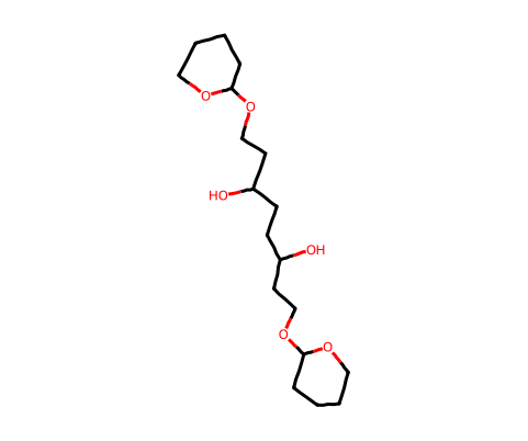 OC(CCOC1CCCCO1)CCC(O)CCOC1CCCCO1